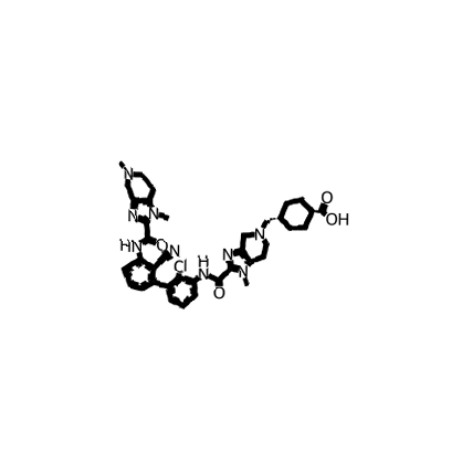 CN1CCc2c(nc(C(=O)Nc3cccc(-c4cccc(NC(=O)c5nc6c(n5C)CCN(C[C@H]5CC[C@H](C(=O)O)CC5)C6)c4Cl)c3C#N)n2C)C1